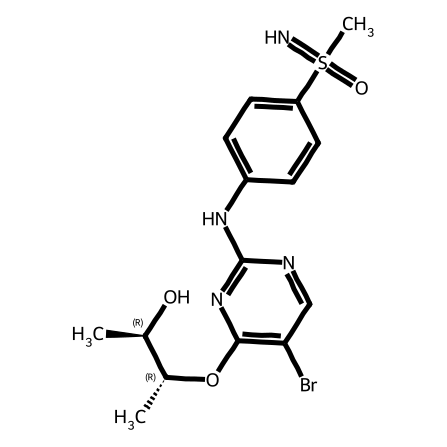 C[C@@H](O)[C@@H](C)Oc1nc(Nc2ccc(S(C)(=N)=O)cc2)ncc1Br